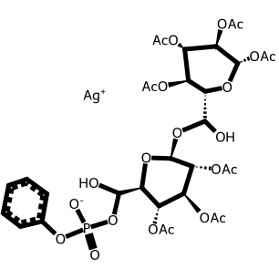 CC(=O)O[C@@H]1O[C@H](C(O)O[C@@H]2O[C@H](C(O)OP(=O)([O-])Oc3ccccc3)[C@@H](OC(C)=O)[C@H](OC(C)=O)[C@H]2OC(C)=O)[C@@H](OC(C)=O)[C@H](OC(C)=O)[C@H]1OC(C)=O.[Ag+]